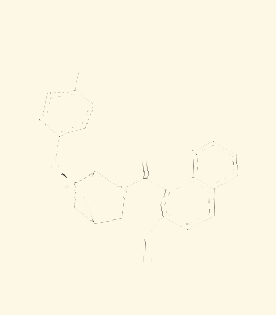 CCOc1ccc2cccnc2c1C(=O)N1CC2C[C@@H](Oc3ccc(C(F)(F)F)cn3)[C@@H]1C2